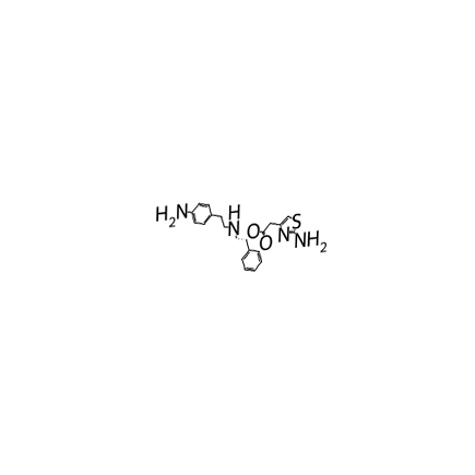 Nc1ccc(CCNC[C@H](OC(=O)Cc2csc(N)n2)c2ccccc2)cc1